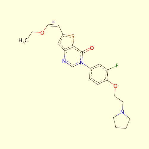 CCO/C=C\c1cc2ncn(-c3ccc(OCCN4CCCC4)c(F)c3)c(=O)c2s1